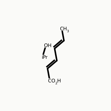 CC(C)O.CC=CC=CC(=O)O